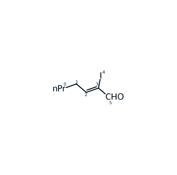 CCCCC=C(I)C=O